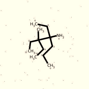 CCCC(N)(CC)C(C)(CC)CC